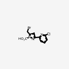 O=C(O)n1nc(-c2cccc(Cl)n2)cc1CBr